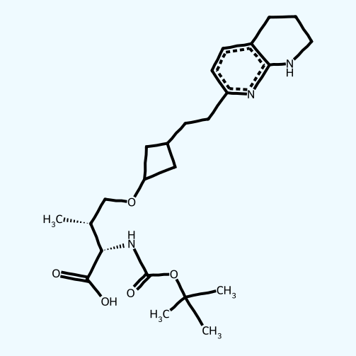 C[C@H](COC1CC(CCc2ccc3c(n2)NCCC3)C1)[C@H](NC(=O)OC(C)(C)C)C(=O)O